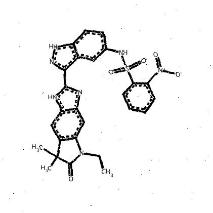 CCN1C(=O)C(C)(C)c2cc3[nH]c(-c4n[nH]c5ccc(NS(=O)(=O)c6ccccc6[N+](=O)[O-])cc45)nc3cc21